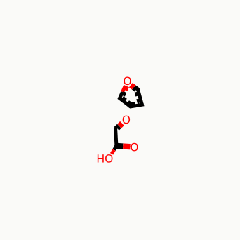 O=CC(=O)O.c1ccoc1